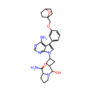 NC(=O)C1CCCN1C(O)C1CC(n2cc(-c3cccc(OCC45CCC(CC4)O5)c3)c3c(N)ncnc32)C1